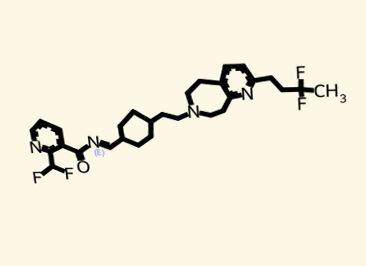 CC(F)(F)CCc1ccc2c(n1)CCN(CCC1CCC(/C=N/C(=O)c3cccnc3C(F)F)CC1)CC2